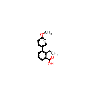 CCc1c(C(=O)O)cccc1-c1ccc(OC)cc1